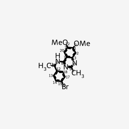 COc1cc2nc(C)nc(N[C@H](C)c3ccc(Br)cc3)c2cc1OC